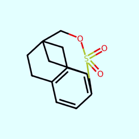 O=S1(=O)OCC23CCc4ccc1c(c4C2)C3